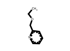 C[CH]OCc1ccccn1